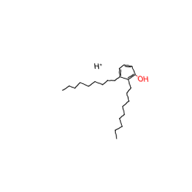 CCCCCCCCCc1cccc(O)c1CCCCCCCCC.[H+]